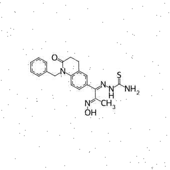 CC(=NO)C(=NNC(N)=S)c1ccc2c(c1)CCC(=O)N2Cc1ccccc1